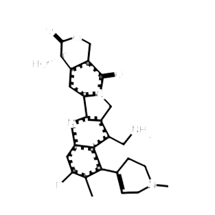 Cc1c(F)cc2nc3c(c(CN)c2c1C1=CCN(C)CC1)Cn1c-3cc2c(c1=O)COC(=O)[C@H]2O